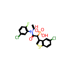 C=CN(C(=O)C(c1csc2ccc(Cl)cc12)P(=O)(O)O)c1cc(Cl)ccc1F